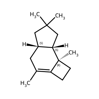 CC1=C2CC[C@]2(C)[C@H]2CC(C)(C)C[C@H]2C1